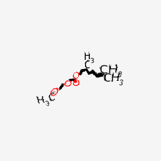 COCCOCC(=O)OCCC(C)CCC=C(C)C